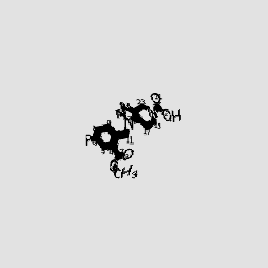 COC(=O)c1cc(F)ccc1Cn1nnc2c1CCN(C(=O)O)C2